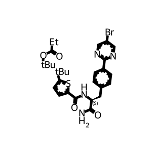 CC(C)(C)c1ccc(C(=O)N[C@@H](Cc2ccc(-c3ncc(Br)cn3)cc2)C(N)=O)s1.CCC(=O)OC(C)(C)C